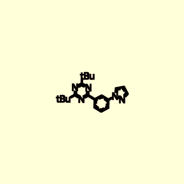 CC(C)(C)c1nc(-c2cccc(-n3cccn3)c2)nc(C(C)(C)C)n1